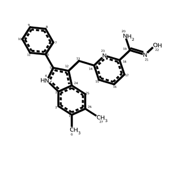 Cc1cc2[nH]c(-c3ccccc3)c(Cc3cccc(/C(N)=N/O)n3)c2cc1C